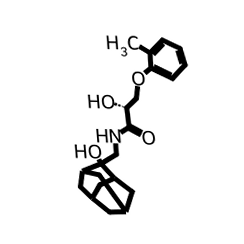 Cc1ccccc1OC[C@@H](O)C(=O)NCC1(O)C2CC3CC(C2)CC1C3